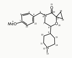 COc1ccc(CN2CC(C3CCN(C)CC3)OC3(CC3)C2=O)cc1